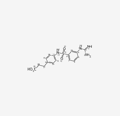 N=C(N)Nc1cccc(S(=O)(=O)Nc2ccc(CCC(=O)O)cc2)c1